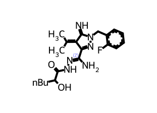 CCCCC(O)C(=O)N/N=C(\N)C1=NN(Cc2ccccc2F)C(=N)C1=C(C)C